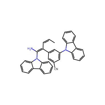 C/C=C\C(=C(/N)n1c2ccccc2c2ccccc21)c1cc(C#N)cc(-n2c3ccccc3c3ccccc32)c1